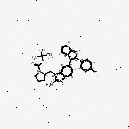 CC(C)(C)OC(=O)N1CCCC1Cn1c(N)nc2ccc(-c3c(-c4ccc(F)cc4)nc4sccn34)cc21